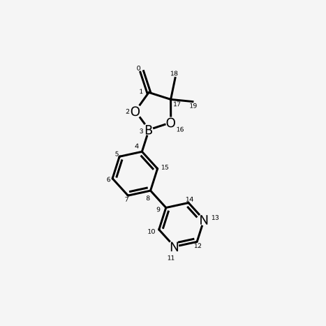 C=C1OB(c2cccc(-c3cncnc3)c2)OC1(C)C